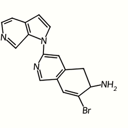 NC1Cc2cc(-n3ccc4ccncc43)ncc2C=C1Br